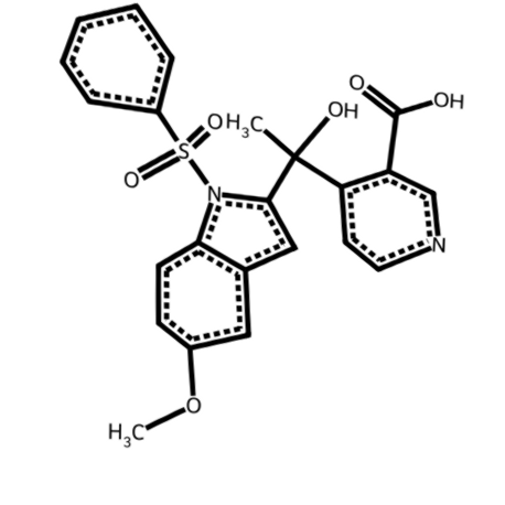 COc1ccc2c(c1)cc(C(C)(O)c1ccncc1C(=O)O)n2S(=O)(=O)c1ccccc1